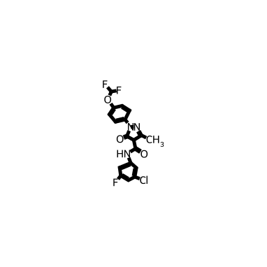 CC1=NN(c2ccc(OC(F)F)cc2)C(=O)C1C(=O)Nc1cc(F)cc(Cl)c1